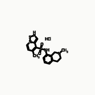 CC1=C(S(=O)(=O)Nc2cccc3c2CN(C)CC3)C2=CNSN2C=C1.Cl